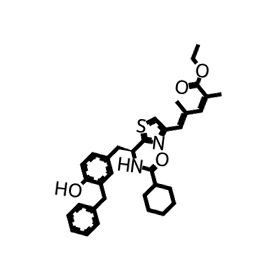 CCOC(=O)/C(C)=C\C(C)=C\c1csc([C@H](Cc2ccc(O)c(Cc3ccccc3)c2)NC(=O)C2CCCCC2)n1